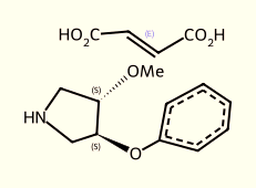 CO[C@H]1CNC[C@@H]1Oc1ccccc1.O=C(O)/C=C/C(=O)O